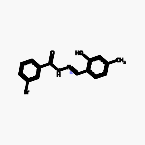 Cc1ccc(/C=N/NC(=O)c2cccc(Br)c2)c(O)c1